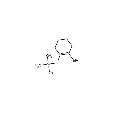 CCCC1=C(O[Si](C)(C)C)CCCC1